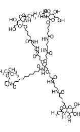 CC(=O)NC1C(OCCCCC(=O)NCCCNC(=O)CCOCC(COCCC(=O)NCCCNC(=O)CCCCOC2OC(CO)C(O)C(O)C2NC(C)=O)(COCCC(=O)NCCCNC(=O)CCCCOC2OC(CO)C(O)C(O)C2NC(C)=O)NC(=O)CCCCCCCCCCC(=O)N2CCC[C@H]2COC(C)(C)C)OC(CO)C(O)C1O